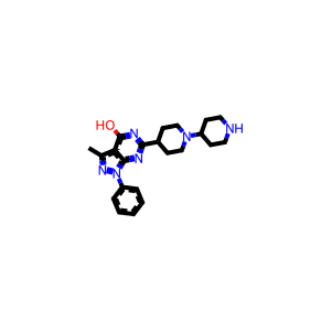 Cc1nn(-c2ccccc2)c2nc(C3CCN(C4CCNCC4)CC3)nc(O)c12